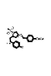 COc1ccc(CS[C@@H]2CC(C[C@@H](C)c3ccc(F)cc3)N(S(C)(=O)=O)C2)cc1